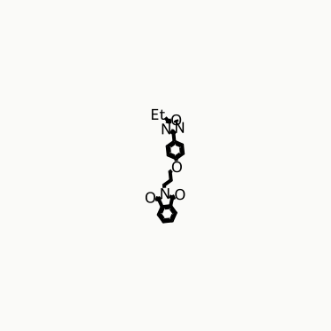 CCc1nc(-c2ccc(OCCCN3C(=O)c4ccccc4C3=O)cc2)no1